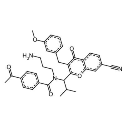 COc1cccc(Cc2c(C(C(C)C)N(CCCN)C(=O)c3ccc(C(C)=O)cc3)oc3cc(C#N)ccc3c2=O)c1